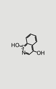 OC1=c2ccccc2=S(O)N=C1